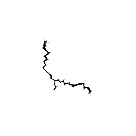 Cl.[CH2]C(O)CC(CCCCCCCC/C=C\CCCCCCCC)CCCCCCCC/C=C\CCCCCCCC